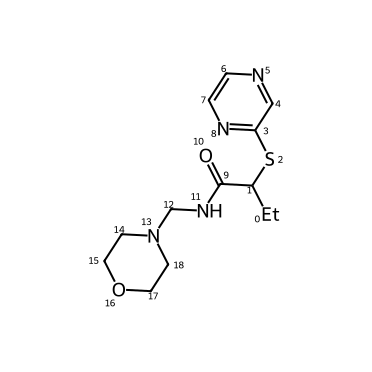 CCC(Sc1cnccn1)C(=O)NCN1CCOCC1